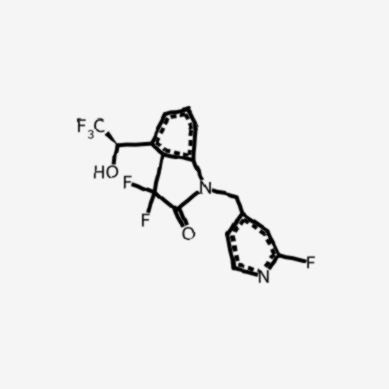 O=C1N(Cc2ccnc(F)c2)c2cccc([C@@H](O)C(F)(F)F)c2C1(F)F